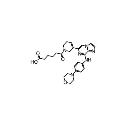 O=C(O)CCCCC(=O)N1CCC=C(c2cn3ccnc3c(Nc3ccc(N4CCOCC4)cc3)n2)C1